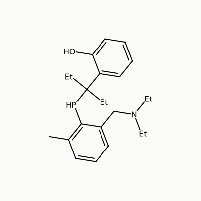 CCN(CC)Cc1cccc(C)c1PC(CC)(CC)c1ccccc1O